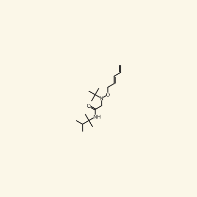 C=CC=CCON(CC(=O)NC(C)(C)C(C)C)C(C)(C)C